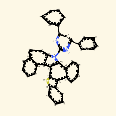 c1ccc(-c2cc(-c3ccccc3)nc(-n3c4ccc5ccccc5c4c4c5sc6ccccc6c5c5ccccc5c43)n2)cc1